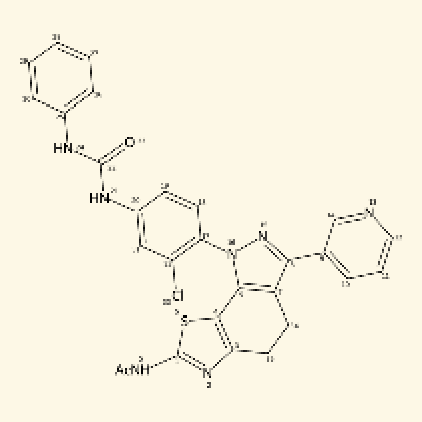 CC(=O)Nc1nc2c(s1)-c1c(c(-c3cccnc3)nn1-c1ccc(NC(=O)Nc3ccccc3)cc1Cl)CC2